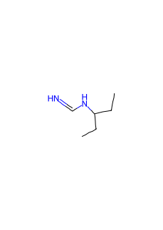 CCC(CC)NC=N